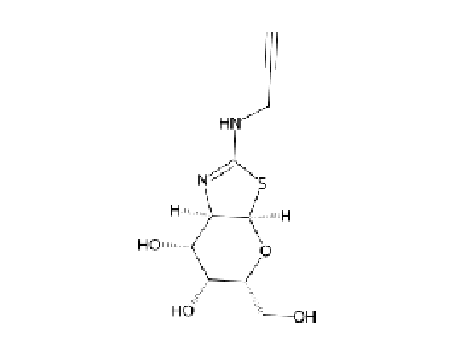 C#CCNC1=N[C@@H]2[C@@H](O)[C@@H](O)[C@@H](CO)O[C@@H]2S1